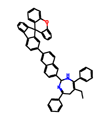 CCC1=C(c2ccccc2)NC(c2ccc3cc(-c4ccc5c(c4)C4(c6ccccc6Oc6ccccc64)c4ccccc4-5)ccc3c2)N=C(c2ccccc2)C1